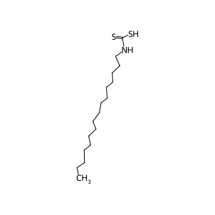 CCCCCCCCCCCCCCCCNC(=S)S